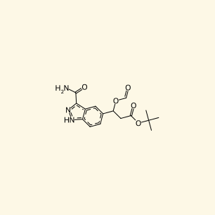 CC(C)(C)OC(=O)CC(OC=O)c1ccc2[nH]nc(C(N)=O)c2c1